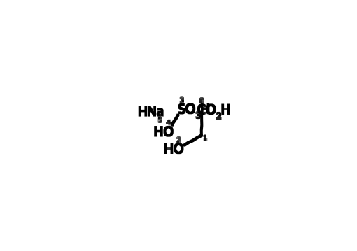 O=C(O)CO.O=S(=O)(O)O.[NaH]